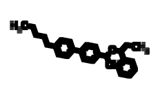 CCCCCc1ccc(-c2ccc(C(O)OC(CC)c3ccccc3)cc2)cc1